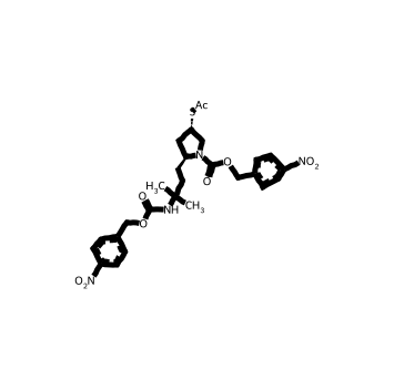 CC(=O)S[C@H]1C[C@H](CCC(C)(C)NC(=O)OCc2ccc([N+](=O)[O-])cc2)N(C(=O)OCc2ccc([N+](=O)[O-])cc2)C1